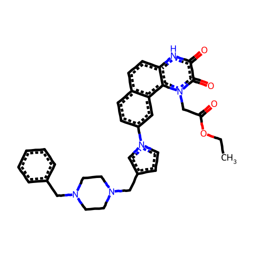 CCOC(=O)Cn1c(=O)c(=O)[nH]c2ccc3ccc(-n4ccc(CN5CCN(Cc6ccccc6)CC5)c4)cc3c21